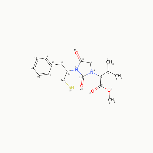 COC(=O)C(C(C)C)N1CC(=O)N(C(CS)Cc2ccccc2)C1=O